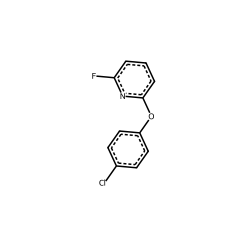 Fc1cccc(Oc2ccc(Cl)cc2)n1